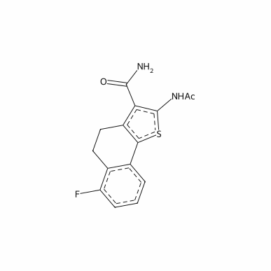 CC(=O)Nc1sc2c(c1C(N)=O)CCc1c(F)cccc1-2